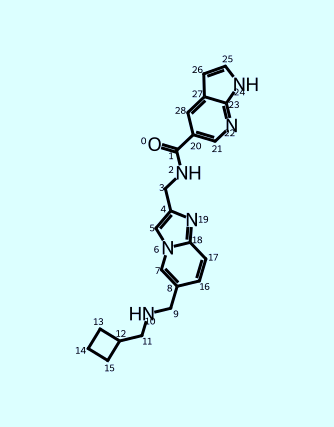 O=C(NCc1cn2cc(CNCC3CCC3)ccc2n1)c1cnc2[nH]ccc2c1